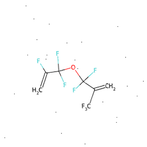 C=C(F)C(F)(F)OC(F)(F)C(=C)C(F)(F)F